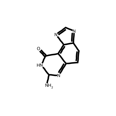 NC1N=c2ccc3c(c2C(=O)N1)N=CN=3